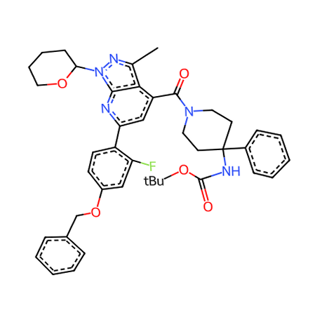 Cc1nn(C2CCCCO2)c2nc(-c3ccc(OCc4ccccc4)cc3F)cc(C(=O)N3CCC(NC(=O)OC(C)(C)C)(c4ccccc4)CC3)c12